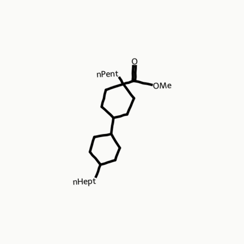 CCCCCCCC1CCC(C2CCC(CCCCC)(C(=O)OC)CC2)CC1